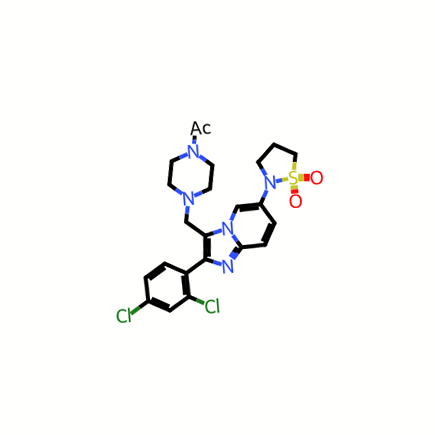 CC(=O)N1CCN(Cc2c(-c3ccc(Cl)cc3Cl)nc3ccc(N4CCCS4(=O)=O)cn23)CC1